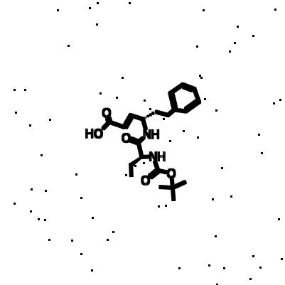 CC[C@H](NC(=O)OC(C)(C)C)C(=O)N[C@H](/C=C/C(=O)O)CCc1ccccc1